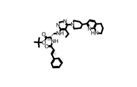 CCc1c(NC[C@H](NC(=O)/C=C/c2ccccc2)C(=O)OC(C)(C)C)ncnc1N1CCC(c2ccc3c(n2)NCCC3)CC1